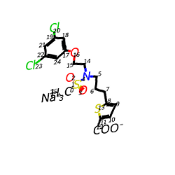 CS(=O)(=O)N(CCCc1ccc(C(=O)[O-])s1)CCOc1cc(Cl)cc(Cl)c1.[Na+]